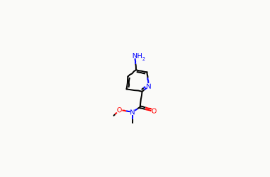 CON(C)C(=O)c1ccc(N)cn1